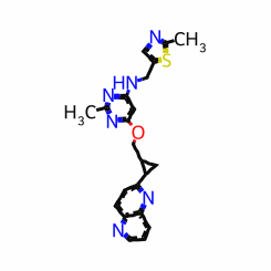 Cc1nc(NCc2cnc(C)s2)cc(OCC2CC2c2ccc3ncccc3n2)n1